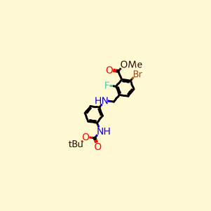 COC(=O)c1c(Br)ccc(CNc2cccc(NC(=O)OC(C)(C)C)c2)c1F